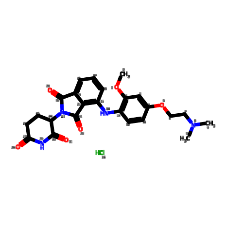 COc1cc(OCCN(C)C)ccc1Nc1cccc2c1C(=O)N(C1CCC(=O)NC1=O)C2=O.Cl